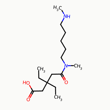 CCC(CC)(CC(=O)O)CC(=O)N(C)CCCCCNC